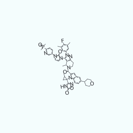 Cc1cc(-n2nc3c(c2-n2ccn(-c4ccc(P(C)(C)=O)nc4)c2=O)C(C)N(C(=O)c2cc4cc(C5CCOCC5)ccc4n2C2(c4noc(=O)[nH]4)CC2C)CC3)cc(C)c1F